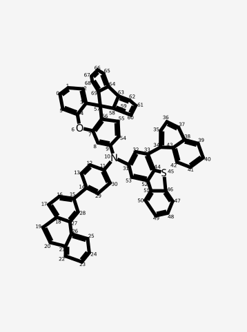 c1ccc2c(c1)Oc1cc(N(c3ccc(-c4ccc5ccc6ccccc6c5c4)cc3)c3cc(-c4cccc5ccccc45)c4sc5ccccc5c4c3)ccc1C21c2ccccc2-c2ccccc21